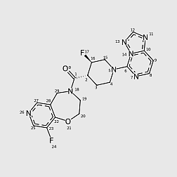 O=C([C@H]1CCN(c2nccc3ncnn23)C[C@@H]1F)N1CCOc2c(F)cncc2C1